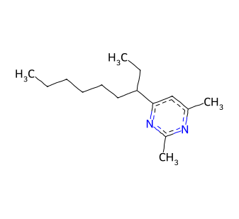 CCCCCCC(CC)c1cc(C)nc(C)n1